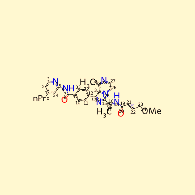 CCCc1ccnc(NC(=O)c2ccc(-c3nc([C@H](C)NC(=O)/C=C/COC)n4ccnc(C)c34)cc2)c1